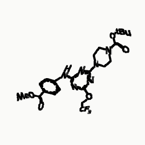 COC(=O)c1ccc(Nc2nc(OCC(F)(F)F)nc(N3CCN(C(=O)OC(C)(C)C)CC3)n2)cc1